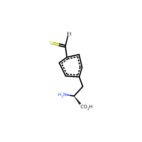 CCC(=S)c1ccc(C[C@H](N)C(=O)O)cc1